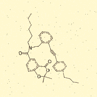 CCCCCCN(Cc1ccccc1C#Cc1ccc(CCCC)cc1)C(=O)c1ccc2c(c1)C(=O)OC(C)(C)O2